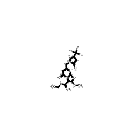 C=C(OCC)c1c(OC)sc2nc(Cn3nc(C(F)(F)F)cc3Cl)cc(=O)n12